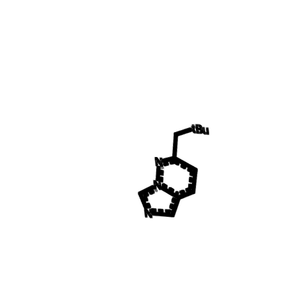 CC(C)(C)Cc1ccc2cncn2n1